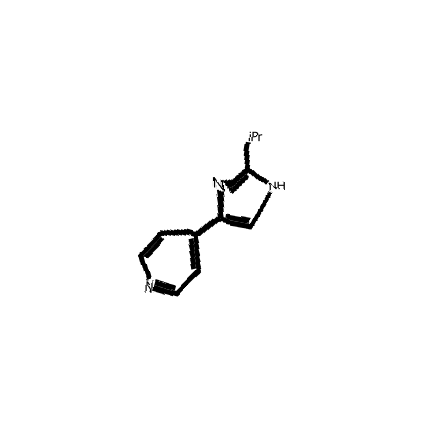 CC(C)c1nc(-c2ccncc2)c[nH]1